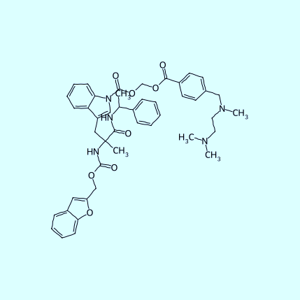 CC(NC(=O)C(C)(Cc1cn(C(=O)OCOC(=O)c2ccc(CN(C)CCN(C)C)cc2)c2ccccc12)NC(=O)OCc1cc2ccccc2o1)c1ccccc1